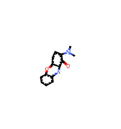 CN(C)c1ccc2oc3ccccc3nc-2c1=O